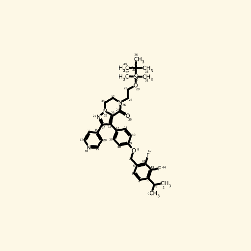 CC(C)c1ccc(COc2ccc(-c3c(-c4ccncc4)nn4c3C(=O)N(CCO[Si](C)(C)C(C)(C)C)CC4)cc2)c(F)c1F